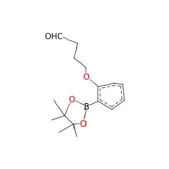 CC1(C)OB(c2ccccc2OCCCC=O)OC1(C)C